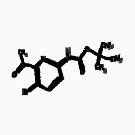 CC(=O)c1nc(NC(=O)OC(C)(C)C)ccc1Br